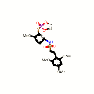 CCOP(=O)(OCC)Sc1cc(NS(=O)(=O)/C=C/c2c(OC)cc(OC)cc2OC)ccc1OC